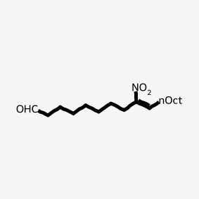 CCCCCCCC/C=C(/CCCCCCCC=O)[N+](=O)[O-]